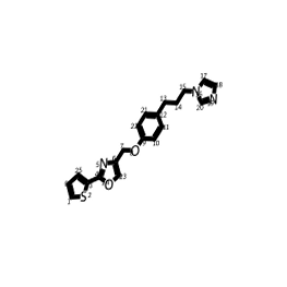 c1csc(-c2nc(COc3ccc(CCCn4ccnc4)cc3)co2)c1